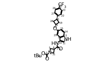 CC(C)(C)OC(=O)N1CC(C(=O)Nc2c[nH]c3ccc(O[C@H]4C[C@H](c5ccc(C(F)(F)F)cc5)C4)cc23)C1